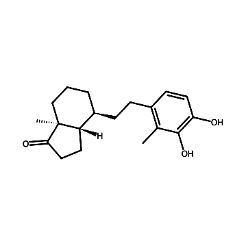 Cc1c(CC[C@@H]2CCC[C@]3(C)C(=O)CC[C@@H]23)ccc(O)c1O